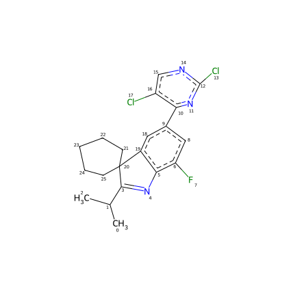 CC(C)C1=Nc2c(F)cc(-c3nc(Cl)ncc3Cl)cc2C12CCCCC2